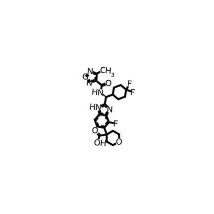 Cc1nonc1C(=O)N[C@H](c1nc2c(F)c(C3(C(=O)O)CCOCC3)ccc2[nH]1)C1CCC(F)(F)CC1